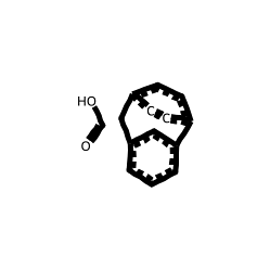 O=CO.c1cc2cc(c1)-c1ccc(cc1)C2